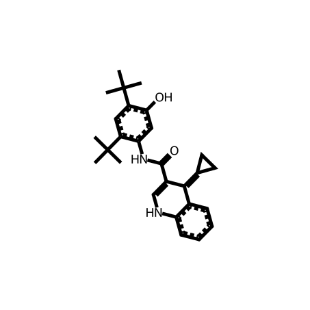 CC(C)(C)c1cc(C(C)(C)C)c(NC(=O)C2=CNc3ccccc3C2=C2CC2)cc1O